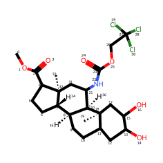 COC(=O)C1CC[C@H]2[C@@H]3CCC4CC(O)C(O)C[C@]4(C)[C@@H]3C(NC(=O)OCC(Cl)(Cl)Cl)C[C@]12C